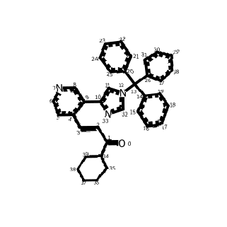 O=C(/C=C/c1ccncc1-c1cn(C(c2ccccc2)(c2ccccc2)c2ccccc2)cn1)C1CCCCC1